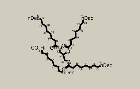 CCCCCCCCCCCCCCCCCC(=O)O.CCCCCCCCCCCCCCCCCC(=O)OCC(COC(=O)CCCCCCCCCCCCCCCCC)OC(=O)CCCCCCCCCCCCCCCCC